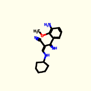 COc1c(N)cccc1C(=N)/C(C#N)=C\NC1CCCCC1